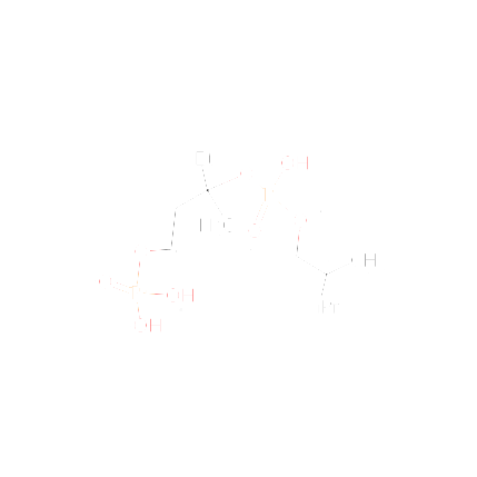 CCC(C)(CCOP(=O)(O)O)OP(=O)(O)OCC(C)C(C)C